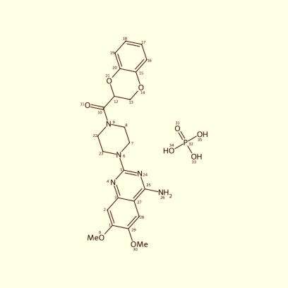 COc1cc2nc(N3CCN(C(=O)C4COc5ccccc5O4)CC3)nc(N)c2cc1OC.O=P(O)(O)O